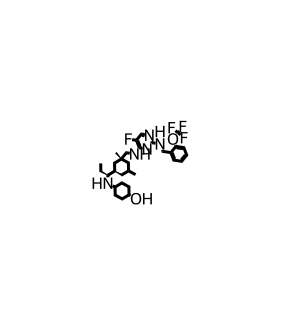 CC[C@H](NC1CCC(O)CC1)[C@@H]1CC(C)C[C@@](C)(CNc2nc(NCc3ccccc3OC(F)(F)F)ncc2F)C1